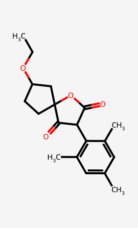 CCOC1CCC2(C1)OC(=O)C(c1c(C)cc(C)cc1C)C2=O